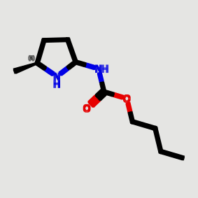 CCCCOC(=O)NC1CC[C@H](C)N1